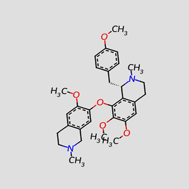 COc1ccc(C[C@H]2c3c(cc(OC)c(OC)c3Oc3cc4c(cc3OC)CCN(C)C4)CCN2C)cc1